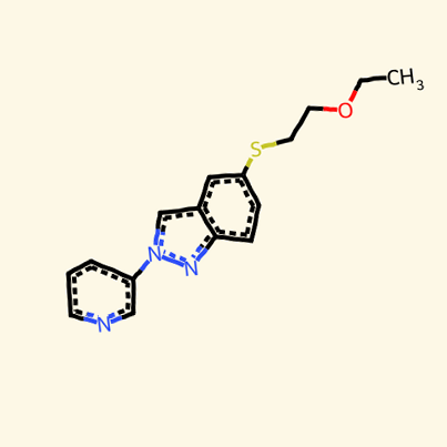 CCOCCSc1ccc2nn(-c3cccnc3)cc2c1